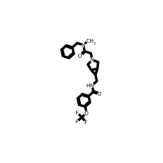 CN(Cc1ccccc1)C(=O)CN1CC2C(CNC(=O)c3cccc(OC(F)(F)F)c3)C2C1